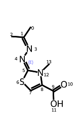 CC(C)=N/N=c1/scc(C(=O)O)n1C